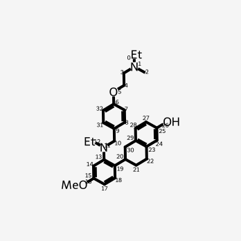 CCN(C)CCOc1ccc(CN(CC)c2cc(OC)ccc2C2CCc3cc(O)ccc3C2)cc1